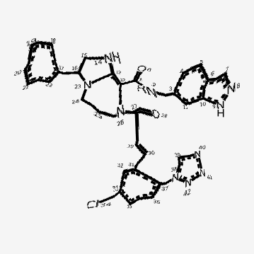 O=C(Nc1ccc2cn[nH]c2c1)C1=C2NCC(c3ccccc3)N2CCN1C(=O)C=Cc1cc(Cl)ccc1-n1cnnn1